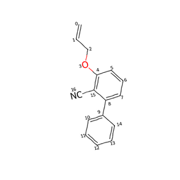 C=CCOc1cccc(-c2ccccc2)c1C#N